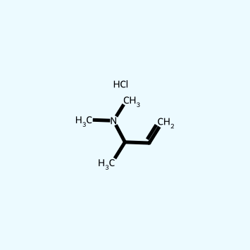 C=CC(C)N(C)C.Cl